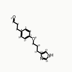 O=CCCc1ccc(OCCCc2c[nH]cn2)cc1